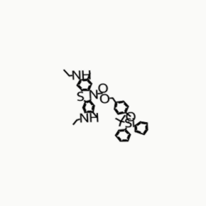 CCNc1cc2c(cc1C)N(C(=O)OCc1ccc(O[Si](c3ccccc3)(c3ccccc3)C(C)(C)C)cc1)c1cc(C)c(NCC)cc1S2